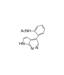 CC(=O)Nc1ccccc1-c1cnnc2[nH]ccc12